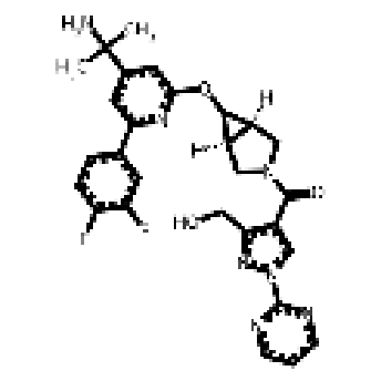 CC(C)(N)c1cc(OC2[C@H]3CN(C(=O)c4cn(-c5ncccn5)nc4CO)C[C@@H]23)nc(-c2ccc(F)c(F)c2)c1